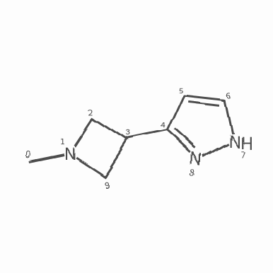 CN1CC(c2cc[nH]n2)C1